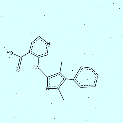 Cc1c(Nc2cnccc2C(=O)O)nn(C)c1-c1ccccc1